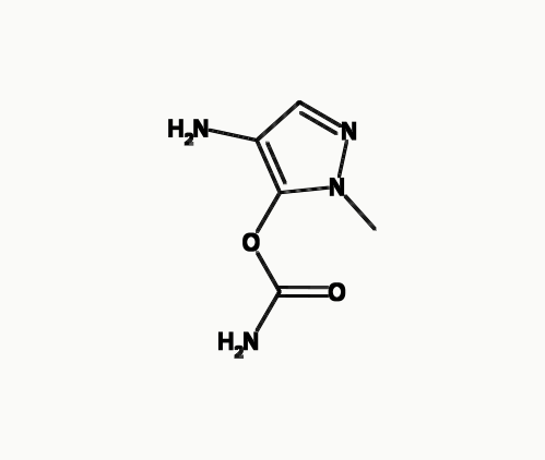 Cn1ncc(N)c1OC(N)=O